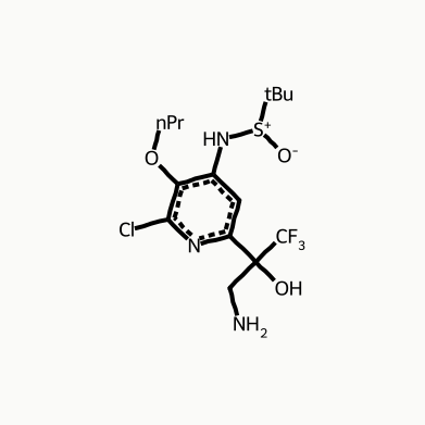 CCCOc1c(N[S+]([O-])C(C)(C)C)cc(C(O)(CN)C(F)(F)F)nc1Cl